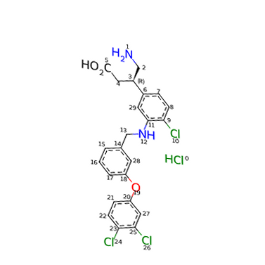 Cl.NC[C@H](CC(=O)O)c1ccc(Cl)c(NCc2cccc(Oc3ccc(Cl)c(Cl)c3)c2)c1